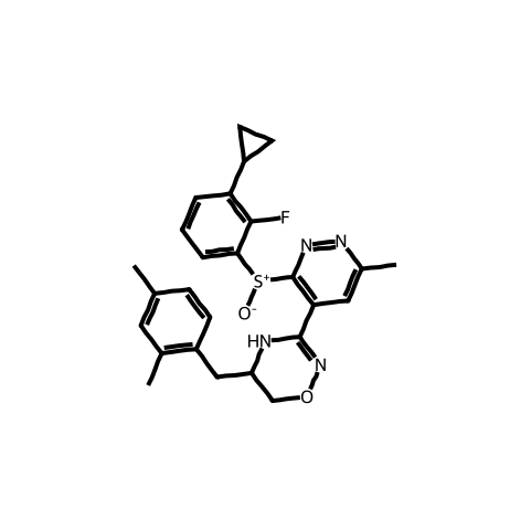 Cc1ccc(CC2CON=C(c3cc(C)nnc3[S+]([O-])c3cccc(C4CC4)c3F)N2)c(C)c1